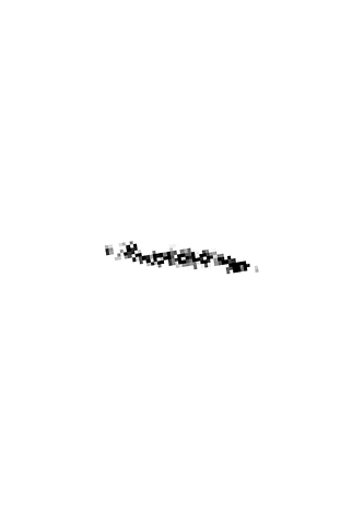 C=CC(=O)OCCCOc1ccc(C(=O)Oc2ccc(OC(=O)c3ccc(OCCCOC(=O)C=C)cc3)c(F)c2F)cc1